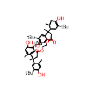 Cc1cc(O)c(C(C)(C)C)cc1C(C)(CC(=O)OCCOC(=O)CC(C)(c1cc(C(C)(C)C)c(O)cc1C)c1cc(C(C)(C)C)c(O)cc1C)c1cc(C(C)(C)C)c(O)cc1C